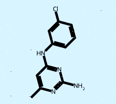 Cc1cc(Nc2cccc(Cl)c2)nc(N)n1